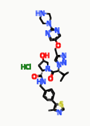 Cc1ncsc1-c1ccc(CNC(=O)[C@@H]2C[C@@H](O)CN2C(=O)[C@H](C(C)C)n2cc(COc3cnc(N4CCNCC4)nc3)nn2)cc1.Cl